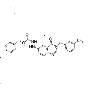 O=C(NNc1ccc2ncn(Cc3cccc(C(F)(F)F)c3)c(=O)c2c1)OCc1ccccc1